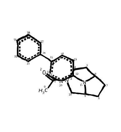 CC(=O)N1CCC2CCC(C1)N2c1ccc(-c2ccccc2)nn1